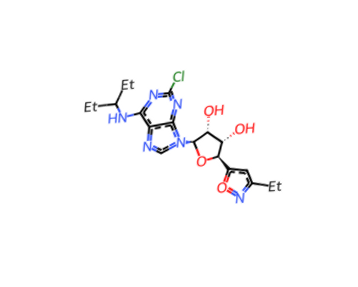 CCc1cc([C@H]2O[C@@H](n3cnc4c(NC(CC)CC)nc(Cl)nc43)[C@H](O)[C@@H]2O)on1